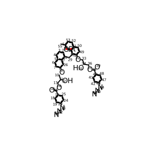 CCOc1ccc2ccc(OCC(O)COC(=O)c3ccc(N=[N+]=[N-])cc3)cc2c1Cc1c(OCC(O)COC(=O)c2ccc(N=[N+]=[N-])cc2)ccc2ccc(C)cc12